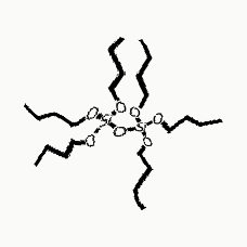 CCCCO[Si](OCCCC)(OCCCC)O[Si](OCCCC)(OCCCC)OCCCC